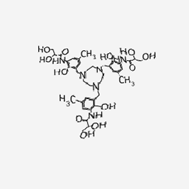 Cc1cc(CN2CCN(Cc3cc(C)cc(NC(=O)C(O)CO)c3O)CCN(Cc3cc(C)cc(NC(=O)C(O)CO)c3O)CC2)c(O)c(NC(=O)C(O)CO)c1